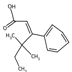 CCC(C)(C)C(=CC(=O)O)c1ccccc1